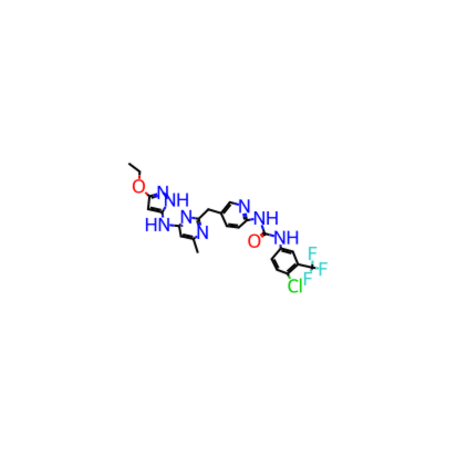 CCOc1cc(Nc2cc(C)nc(Cc3ccc(NC(=O)Nc4ccc(Cl)c(C(F)(F)F)c4)nc3)n2)[nH]n1